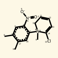 Cc1cc([N+](=O)[O-])c([N+]2(C)CC=C[C]=C2Cl)cc1C